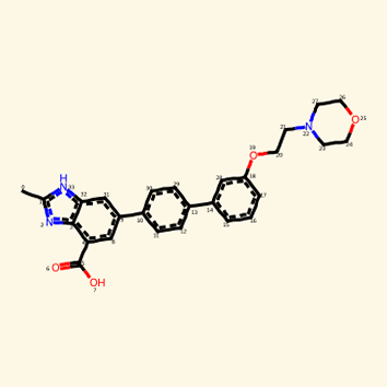 Cc1nc2c(C(=O)O)cc(-c3ccc(-c4cccc(OCCN5CCOCC5)c4)cc3)cc2[nH]1